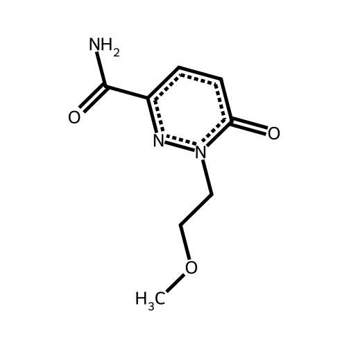 COCCn1nc(C(N)=O)ccc1=O